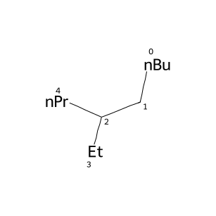 CCCCCC(CC)CCC